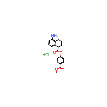 COC(=O)c1ccc(OC(=O)C2CCCc3c(N)cccc32)cc1.Cl